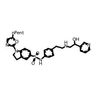 CCCCCc1cnc(N2CCc3cc(S(=O)(=O)Nc4ccc(CCNCC(O)c5cccnc5)cc4)ccc32)o1